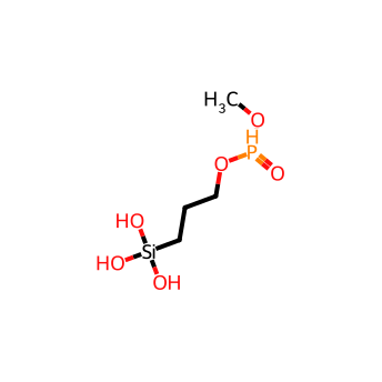 CO[PH](=O)OCCC[Si](O)(O)O